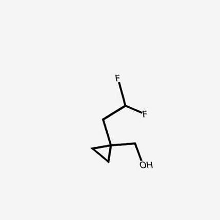 OCC1(CC(F)F)CC1